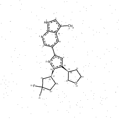 Cc1c[nH]c2ncc(-c3cc([C@H]4CCOC4)n([C@H]4CCC(F)(F)C4)n3)cc12